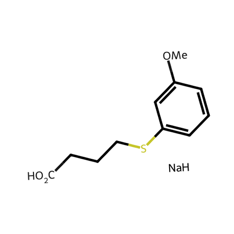 COc1cccc(SCCCC(=O)O)c1.[NaH]